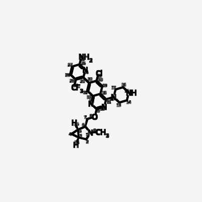 CN1C[C@@H]2C[C@@H]2[C@H]1COc1nc(N2CCNCC2)c2cc(Cl)c(-c3nc(N)ccc3C(F)(F)F)cc2n1